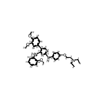 CCN(CC)CCOc1ccc(Nc2ncc(-c3ccc(OC)c(OC)c3)c(Nc3ccccc3OC)n2)cc1